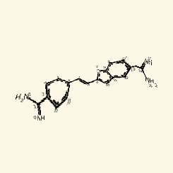 N=C(N)c1ccc(/C=C/c2cc3cc(C(=N)N)ccc3o2)cc1